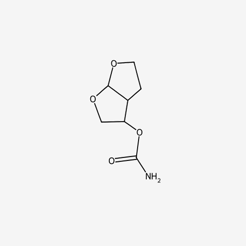 NC(=O)OC1COC2OCCC12